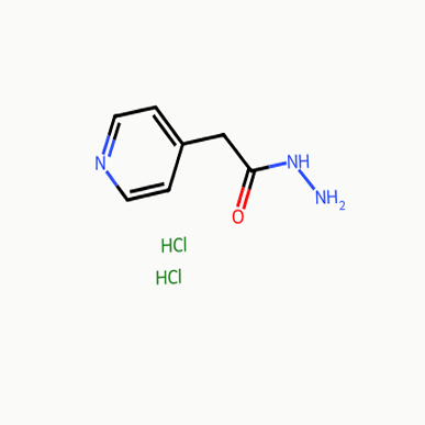 Cl.Cl.NNC(=O)Cc1ccncc1